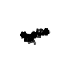 C=CC(c1cc2ccccc2n1C)S(=O)(=O)c1ccc(NC(=O)NCc2cccnc2)cc1